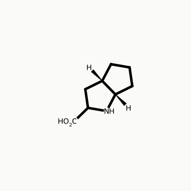 O=C(O)C1C[C@@H]2CCC[C@@H]2N1